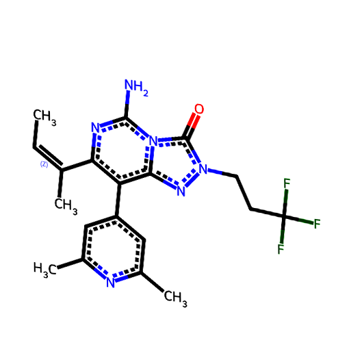 C/C=C(/C)c1nc(N)n2c(=O)n(CCC(F)(F)F)nc2c1-c1cc(C)nc(C)c1